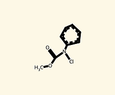 COC(=O)N(Cl)c1cc[c]cc1